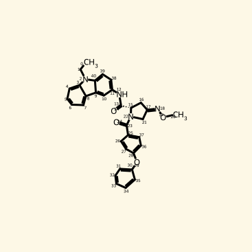 CCn1c2ccccc2c2cc(NC(=O)[C@@H]3CC(=NOC)CN3C(=O)c3ccc(Oc4ccccc4)cc3)ccc21